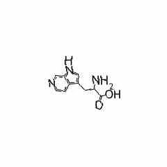 NC(Cc1c[nH]c2cnccc12)C(=O)O